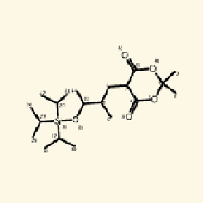 CC(CC1C(=O)OC(C)(C)OC1=O)C(C)O[Si](C(C)C)(C(C)C)C(C)C